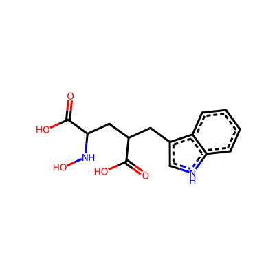 O=C(O)C(Cc1c[nH]c2ccccc12)CC(NO)C(=O)O